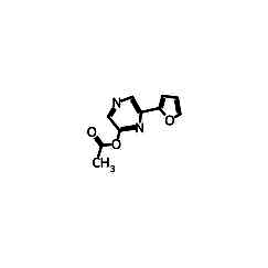 CC(=O)Oc1cncc(-c2ccco2)n1